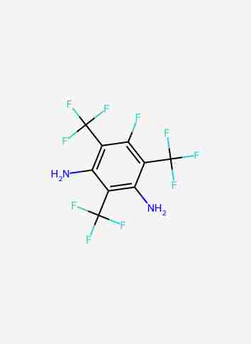 Nc1c(C(F)(F)F)c(N)c(C(F)(F)F)c(F)c1C(F)(F)F